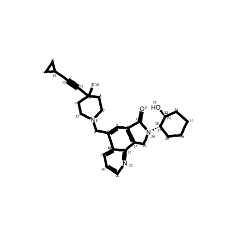 O=C1c2cc(CN3CCC(F)(C#CC4CC4)CC3)c3cccnc3c2CN1[C@H]1CCCC[C@@H]1O